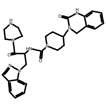 O=C(NC(Cn1ncc2ccccc21)C(=O)N1CCNCC1)N1CCC(N2Cc3ccccc3NC2=O)CC1